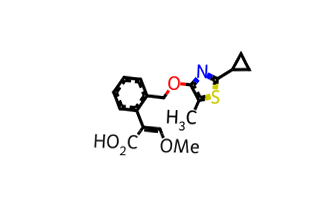 COC=C(C(=O)O)c1ccccc1COc1nc(C2CC2)sc1C